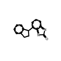 O=C1N=c2cccc(C3CCc4ccccc43)c2=N1